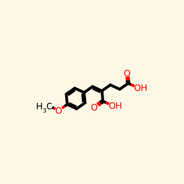 COc1ccc(C=C(CCC(=O)O)C(=O)O)cc1